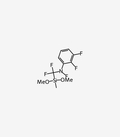 CO[Si](C)(OC)C(F)(F)N(F)c1cccc(F)c1F